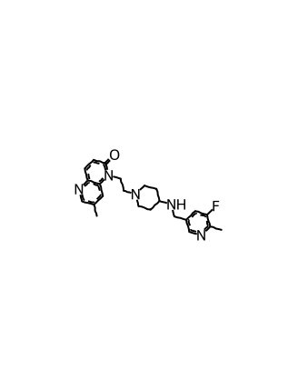 Cc1cnc2ccc(=O)n(CCN3CCC(NCc4cnc(C)c(F)c4)CC3)c2c1